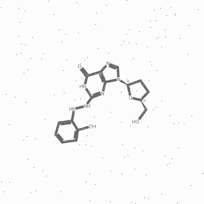 O=c1[nH]c(NNc2ccccc2O)nc2c1ncn2[C@H]1CC[C@@H](CO)O1